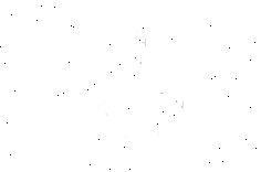 CCOC(=O)C(=NO)c1cccc2ccncc12